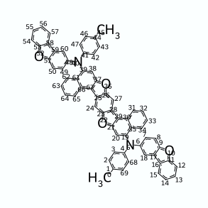 Cc1ccc(N(c2ccc3oc4ccccc4c3c2)c2cc3oc4cc5c(cc4c3c3ccccc23)oc2cc(N(c3ccc(C)cc3)c3ccc4oc6ccccc6c4c3)c3ccccc3c25)cc1